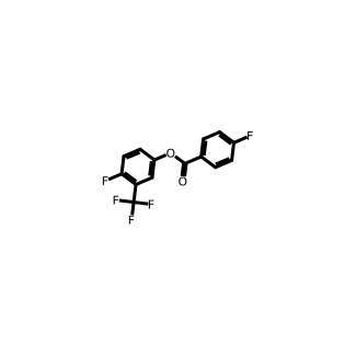 O=C(Oc1ccc(F)c(C(F)(F)F)c1)c1ccc(F)cc1